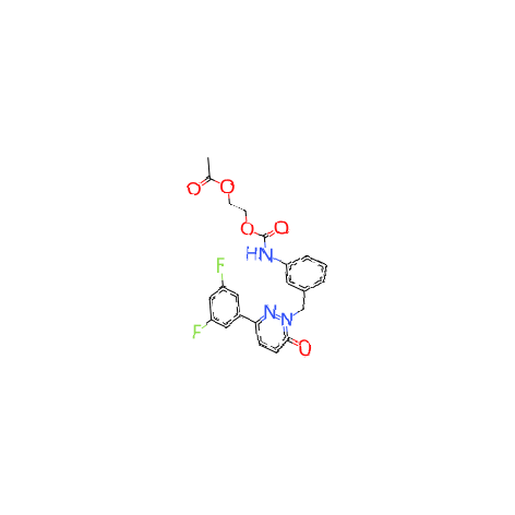 CC(=O)OCCOC(=O)Nc1cccc(Cn2nc(-c3cc(F)cc(F)c3)ccc2=O)c1